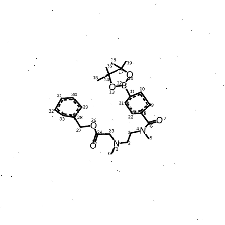 CN(CCN(C)C(=O)c1ccc(B2OC(C)(C)C(C)(C)O2)cc1)CC(=O)OCc1ccccc1